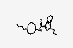 CCCCN1CCCC(NC(=O)c2nn(CCC)c3ccccc23)CCC1